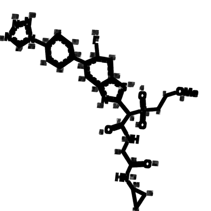 COCCS(=O)(=O)C(C(=O)NCC(=O)NC1CC1)c1nc2cc(-c3ccc(-n4cnnn4)cc3)c(F)cc2s1